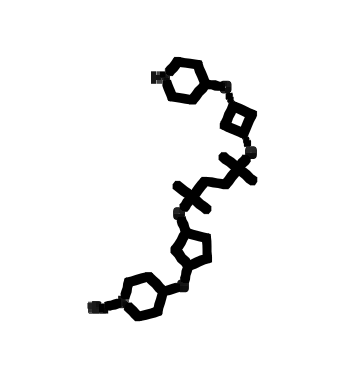 CC(C)(CCC(C)(C)O[C@H]1C[C@@H](OC2CCNCC2)C1)OC1CCC(OC2CCN(C(C)(C)C)CC2)C1